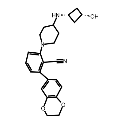 N#Cc1c(-c2ccc3c(c2)OCCO3)cccc1N1CCC(N[C@H]2C[C@@H](O)C2)CC1